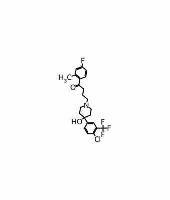 Cc1cc(F)ccc1C(=O)CCCN1CCC(O)(c2ccc(Cl)c(C(F)(F)F)c2)CC1